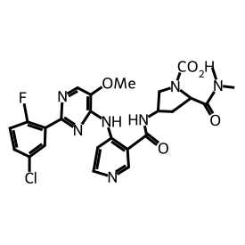 COc1cnc(-c2cc(Cl)ccc2F)nc1Nc1ccncc1C(=O)NC1CC(C(=O)N(C)C)N(C(=O)O)C1